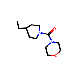 CCC1CCN(C(=O)N2CCOCC2)CC1